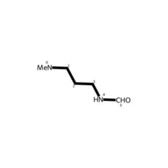 CNCCCNC=O